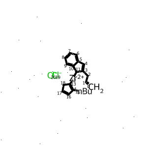 C=CCC1=Cc2ccccc2[CH]1[Zr+2][C]1=C(CCCC)C=CC1.[Cl-].[Cl-]